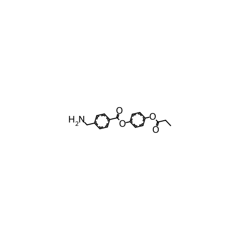 CCC(=O)Oc1ccc(OC(=O)c2ccc(CN)cc2)cc1